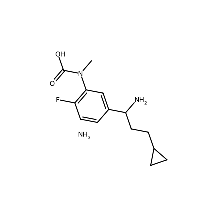 CN(C(=O)O)c1cc(C(N)CCC2CC2)ccc1F.N